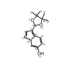 CC1(C)OB(c2cnn3cc(O)ccc23)OC1(C)C